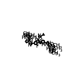 CCCCN(C(=O)[C@@H](NC(=O)OC)C(C)C)c1ncc(-c2ccc3c(c2)cc2n3[C@@H](c3cnc(C4CC4)s3)Oc3cc(-c4cnc([C@@H]5CCCN5C(=O)[C@@H](NC(=O)OC)C(C)C)[nH]4)cc(F)c3-2)[nH]1